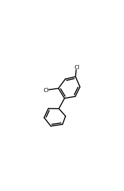 Clc1ccc(C2C=CC=CC2)c(Cl)c1